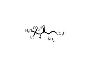 CCC(N)(NC(=O)[C@@H](N)CC(=O)O)C(=O)O